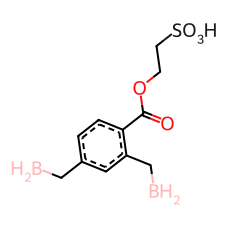 BCc1ccc(C(=O)OCCS(=O)(=O)O)c(CB)c1